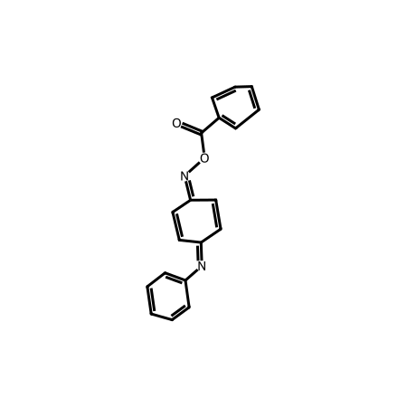 O=C(ON=C1C=CC(=Nc2ccccc2)C=C1)c1ccccc1